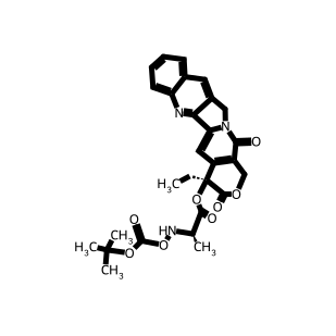 CC[C@@]1(OC(=O)[C@H](C)NOC(=O)OC(C)(C)C)C(=O)OCc2c1cc1n(c2=O)Cc2cc3ccccc3nc2-1